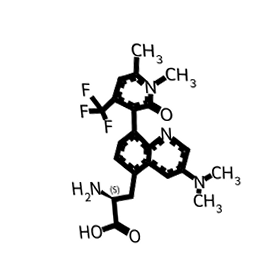 Cc1cc(C(F)(F)F)c(-c2ccc(C[C@H](N)C(=O)O)c3cc(N(C)C)cnc23)c(=O)n1C